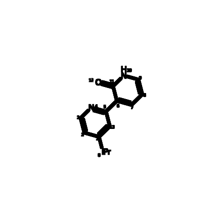 CC(C)c1ccnc(-c2ccc[nH]c2=O)c1